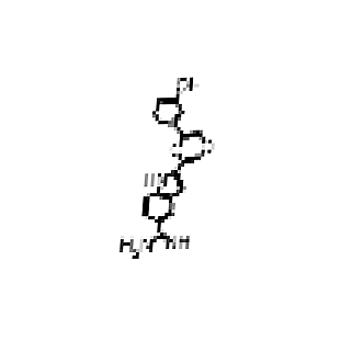 N=C(N)c1ccc2[nH]c(C3=COC=C(C4=CC(O)=CCC4)O3)cc2c1